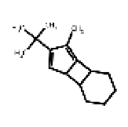 CC1=C2C([C]=C1C(C)(C)C)C1CCCCC21